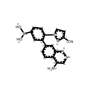 N#Cc1ccn(-c2ccc(B(O)O)cc2-c2ccc3c(N)cnnc3c2)n1